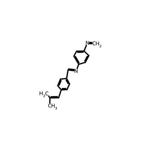 C=Nc1ccc(/N=C/c2ccc(C=C(C)C)cc2)cc1